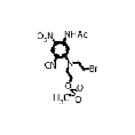 [C-]#[N+]c1cc([N+](=O)[O-])c(NC(C)=O)cc1N(CCBr)CCOS(C)(=O)=O